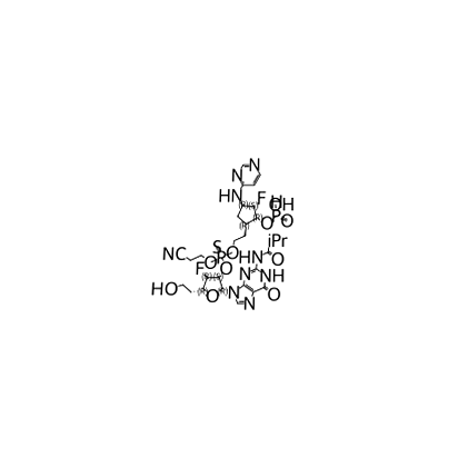 CC(C)C(=O)Nc1nc2c(ncn2[C@@H]2O[C@H](CCO)[C@@H](F)[C@H]2OP(=S)(OCCC#N)OCC[C@H]2C[C@@H](Nc3ccncn3)[C@H](F)[C@@H]2O[PH](=O)O)c(=O)[nH]1